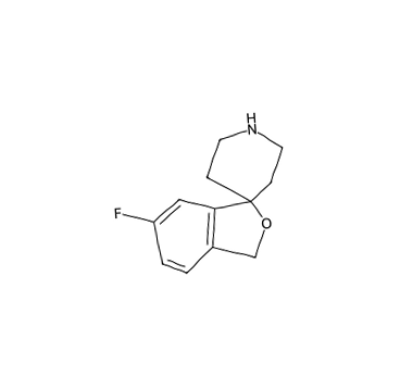 Fc1ccc2c(c1)C1(CCNCC1)OC2